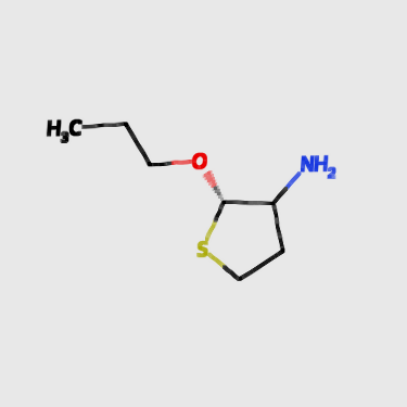 CCCO[C@H]1SCCC1N